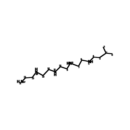 CC(C)CCNCCNCCNCCNCCN